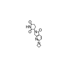 O=C1CCC(N2Cc3nc(N4CCC4)ccc3C2=O)C(=O)N1